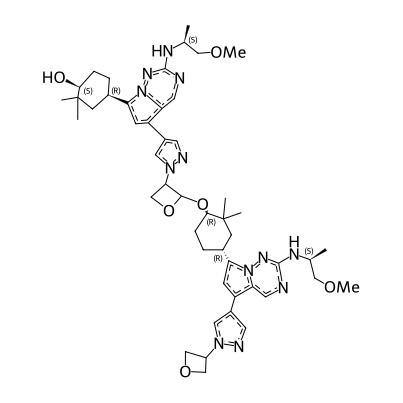 COC[C@H](C)Nc1ncc2c(-c3cnn(C4COC4O[C@@H]4CC[C@@H](c5cc(-c6cnn(C7COC7)c6)c6cnc(N[C@@H](C)COC)nn56)CC4(C)C)c3)cc([C@@H]3CC[C@H](O)C(C)(C)C3)n2n1